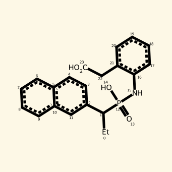 CCC(c1ccc2ccccc2c1)P(=O)(O)Nc1ccccc1CC(=O)O